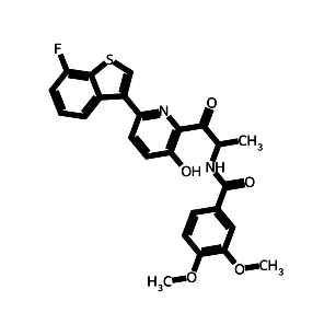 COc1ccc(C(=O)NC(C)C(=O)c2nc(-c3csc4c(F)cccc34)ccc2O)cc1OC